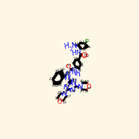 Nc1cc(F)ccc1NC(=O)c1ccc(NC(=O)N(c2ccccc2)c2nc(N3CCOCC3)nc(N3CCOCC3)n2)cc1